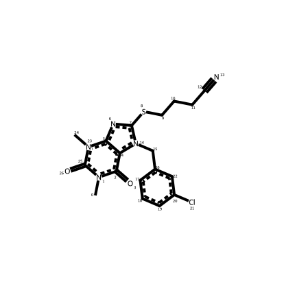 Cn1c(=O)c2c(nc(SCCCC#N)n2Cc2cccc(Cl)c2)n(C)c1=O